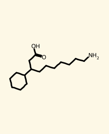 NCCCCCCCC(CC(=O)O)C1CCCCC1